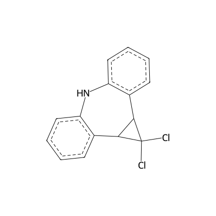 ClC1(Cl)C2c3ccccc3Nc3ccccc3C21